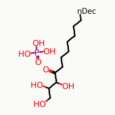 CCCCCCCCCCCCCCCCCC(=O)C(O)C(O)CO.O=P(O)(O)O